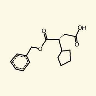 O=C(O)C[C@@H](C(=O)OCc1ccccc1)C1CCCC1